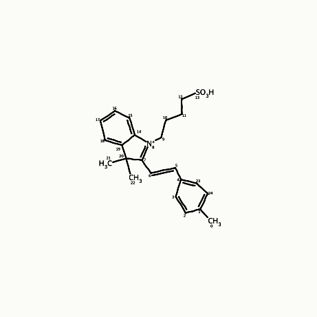 Cc1ccc(/C=C/C2=[N+](CCCCS(=O)(=O)O)c3ccccc3C2(C)C)cc1